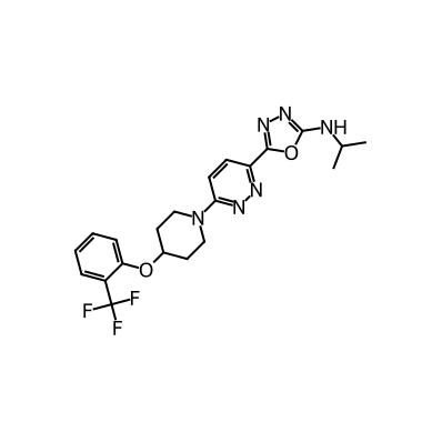 CC(C)Nc1nnc(-c2ccc(N3CCC(Oc4ccccc4C(F)(F)F)CC3)nn2)o1